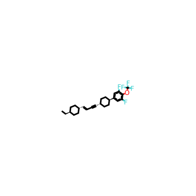 CC[C@H]1CC[C@H](C=CC#C[C@H]2CC[C@H](c3cc(F)c(OC(F)(F)F)c(F)c3)CC2)CC1